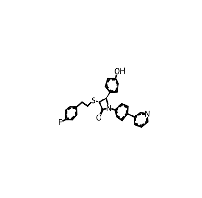 O=C1[C@H](SCCc2ccc(F)cc2)[C@@H](c2ccc(O)cc2)N1c1ccc(-c2cccnc2)cc1